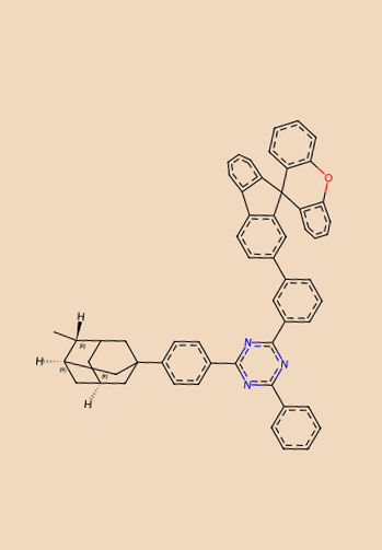 C[C@@H]1C2C[C@@H]3C[C@@H]1CC(c1ccc(-c4nc(-c5ccccc5)nc(-c5cccc(-c6ccc7c(c6)C6(c8ccccc8Oc8ccccc86)c6ccccc6-7)c5)n4)cc1)(C2)C3